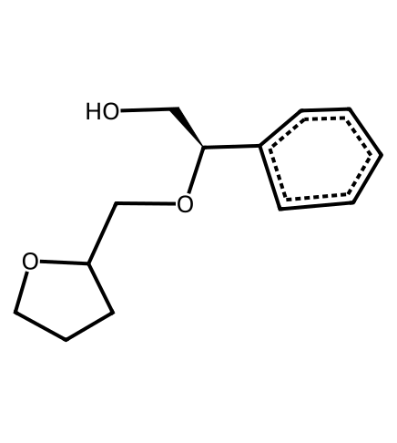 OC[C@H](OCC1CCCO1)c1ccccc1